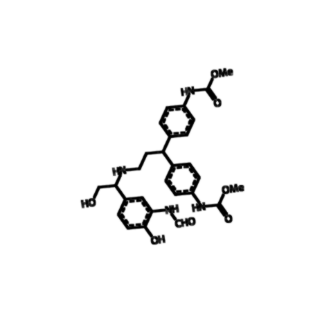 COC(=O)Nc1ccc(C(CCNC(CO)c2ccc(O)c(NC=O)c2)c2ccc(NC(=O)OC)cc2)cc1